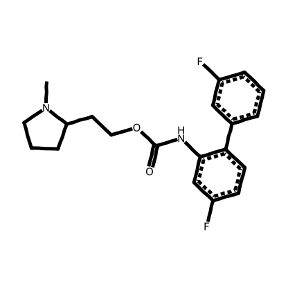 CN1CCCC1CCOC(=O)Nc1cc(F)ccc1-c1cccc(F)c1